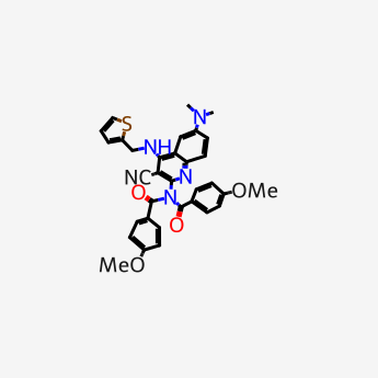 COc1ccc(C(=O)N(C(=O)c2ccc(OC)cc2)c2nc3ccc(N(C)C)cc3c(NCc3cccs3)c2C#N)cc1